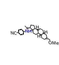 COC[C@H]1CC[C@@H]2C3CC[C@@]4(C)C(CCC4[C@H](C)Nc4ccc(C#N)cc4)[C@@H]3CC[C@@H]2C1